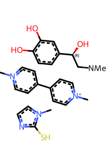 CNC[C@H](O)c1ccc(O)c(O)c1.C[n+]1ccc(-c2cc[n+](C)cc2)cc1.Cn1ccnc1S